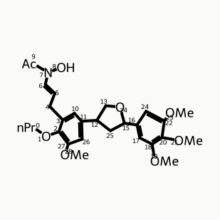 CCCOc1c(CC=CN(O)C(C)=O)cc(C2COC(c3cc(OC)c(OC)c(OC)c3)C2)cc1OC